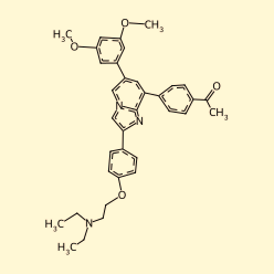 CCN(CC)CCOc1ccc(-c2cn3cc(-c4cc(OC)cc(OC)c4)cc(-c4ccc(C(C)=O)cc4)c3n2)cc1